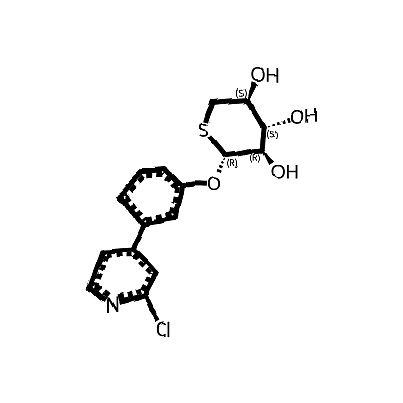 O[C@@H]1[C@@H](O)[C@H](Oc2cccc(-c3ccnc(Cl)c3)c2)SC[C@H]1O